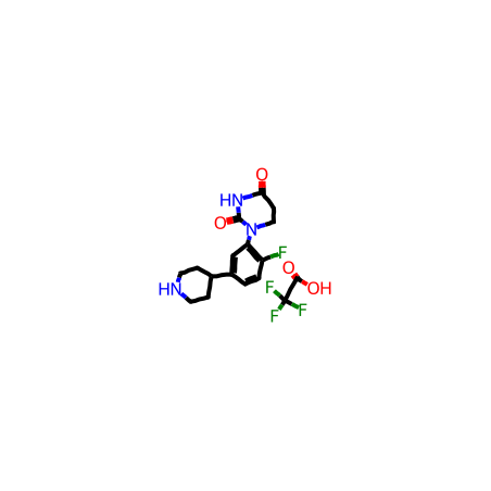 O=C(O)C(F)(F)F.O=C1CCN(c2cc(C3CCNCC3)ccc2F)C(=O)N1